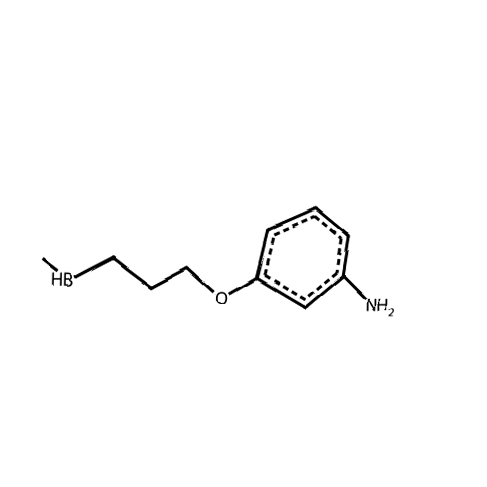 CBCCCOc1cccc(N)c1